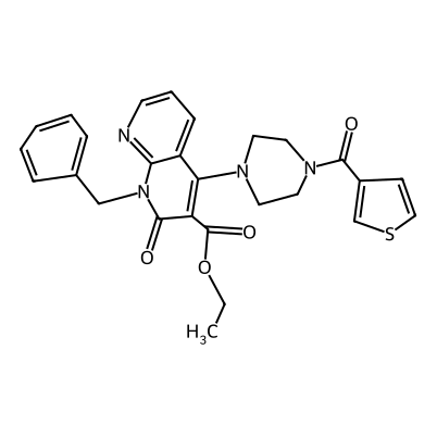 CCOC(=O)c1c(N2CCN(C(=O)c3ccsc3)CC2)c2cccnc2n(Cc2ccccc2)c1=O